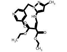 CCOC(=O)C(=CNc1cc(C)nn1Cc1cncc(C)c1)C(=O)OCC